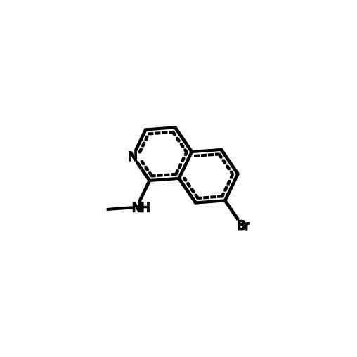 CNc1nccc2ccc(Br)cc12